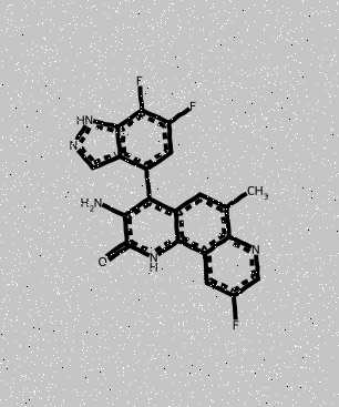 Cc1cc2c(-c3cc(F)c(F)c4[nH]ncc34)c(N)c(=O)[nH]c2c2cc(F)cnc12